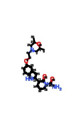 CC1CN(CCOc2ccc3[nH]c(-c4c[c]cn(C(N)=O)c4=O)cc3c2)CC(C)O1